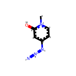 Cn1ccc(N=[N+]=[N-])cc1=O